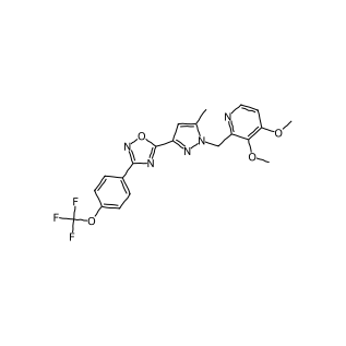 COc1ccnc(Cn2nc(-c3nc(-c4ccc(OC(F)(F)F)cc4)no3)cc2C)c1OC